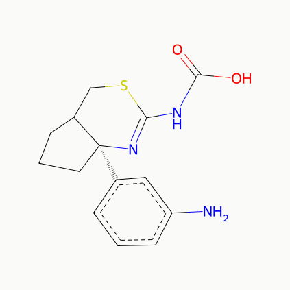 Nc1cccc([C@]23CCCC2CSC(NC(=O)O)=N3)c1